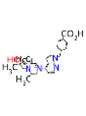 C[C@@H]1CN(c2ccnc3c2ccn3Cc2ccc(C(=O)O)cc2)C[C@H](C)N1CC(C)(C)O